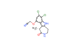 C[C@H]1C(=O)NCCc2[nH]c3c(Cl)c(Cl)cc(OCC#N)c3c21